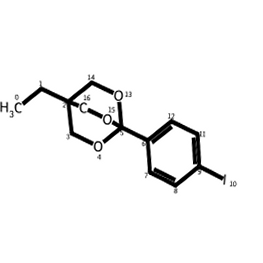 CCC12COC(c3ccc(I)cc3)(OC1)OC2